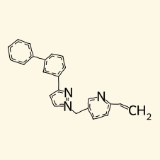 C=Cc1ccc(Cn2ccc(-c3cccc(-c4ccccc4)c3)n2)cn1